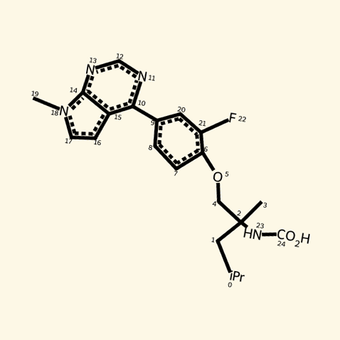 CC(C)CC(C)(COc1ccc(-c2ncnc3c2ccn3C)cc1F)NC(=O)O